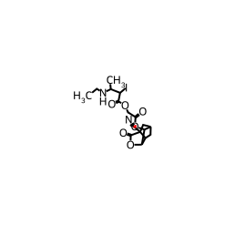 CCNC(C)C(I)C(=O)OCC(=O)OC1C2CC3C1OC(=O)C3(C#N)C2